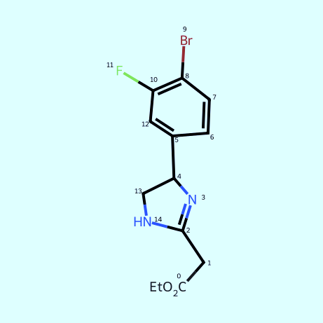 CCOC(=O)CC1=NC(c2ccc(Br)c(F)c2)CN1